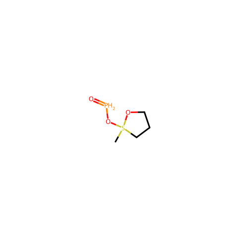 CS1(O[PH2]=O)CCCO1